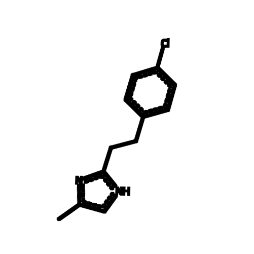 Cc1c[nH]c(CCc2ccc(Cl)cc2)n1